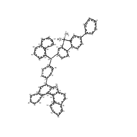 CC1(C)c2cc(-c3ccccc3)ccc2-c2ccc(N(c3ccc(-c4cc5ccccc5c5c4oc4ccc6ccccc6c45)cc3)c3cccc4ccccc34)cc21